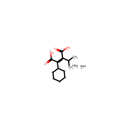 CC(C)/C(C(=O)O)=C(/C(=O)O)C1CCCCC1.[NaH].[NaH]